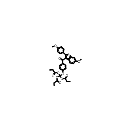 CCC(=O)OC(OC(=O)CC)(OC(=O)CC)Oc1ccc(C(=O)c2c(-c3ccc(OC)cc3)sc3cc(OC)ccc23)cc1